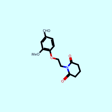 COc1cc(C=O)ccc1OCCN1C(=O)CCCC1=O